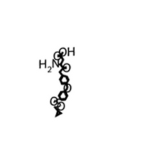 NC(CC(=O)O)C(=O)Cc1ccc(Oc2ccc(S(=O)(=O)CC3CC3)cc2)cc1